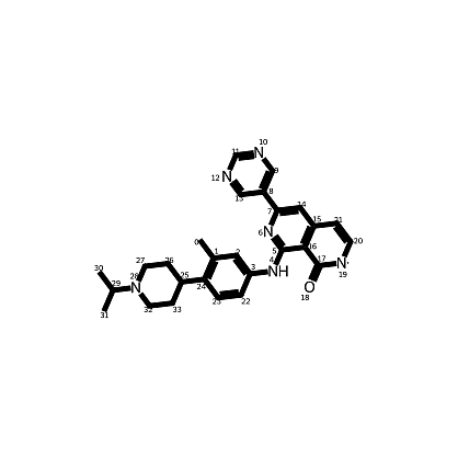 Cc1cc(Nc2nc(-c3cncnc3)cc3c2C(=O)[N]C=C3)ccc1C1CCN(C(C)C)CC1